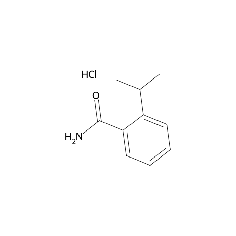 CC(C)c1ccccc1C(N)=O.Cl